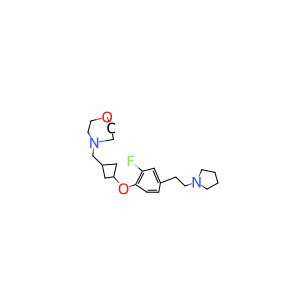 Fc1cc(CCN2CCCC2)ccc1OC1CC(CN2CCOCC2)C1